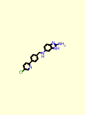 Nc1nc2ccc(NCc3ccc(-c4ccc(Cl)cn4)cc3)cc2[nH]1